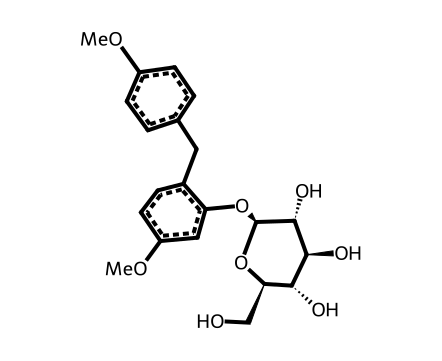 COc1ccc(Cc2ccc(OC)cc2O[C@@H]2O[C@H](CO)[C@@H](O)[C@H](O)[C@H]2O)cc1